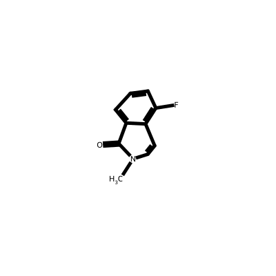 Cn1ccc2c(F)cccc2c1=O